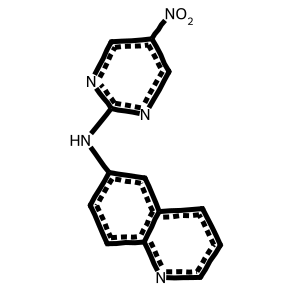 O=[N+]([O-])c1cnc(Nc2ccc3ncccc3c2)nc1